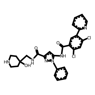 O=C(NCC1(O)CCNCC1)c1cc(NC(=O)c2cc(-c3ccccn3)c(Cl)cc2Cl)n(-c2ccccc2)n1